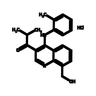 Cc1ccccc1Nc1c(C(=O)C(C)C)cnc2c(CO)cccc12.Cl